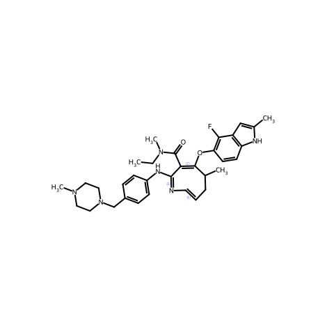 CCN(C)C(=O)C1=C(\Oc2ccc3[nH]c(C)cc3c2F)C(C)C/C=C/N=C\1Nc1ccc(CN2CCN(C)CC2)cc1